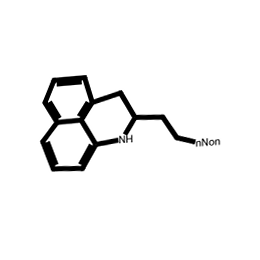 CCCCCCCCCCCC1Cc2cccc3cccc(c23)N1